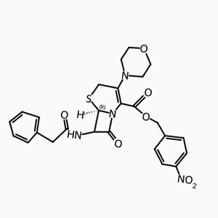 O=C(Cc1ccccc1)NC1C(=O)N2C(C(=O)OCc3ccc([N+](=O)[O-])cc3)=C(N3CCOCC3)CS[C@H]12